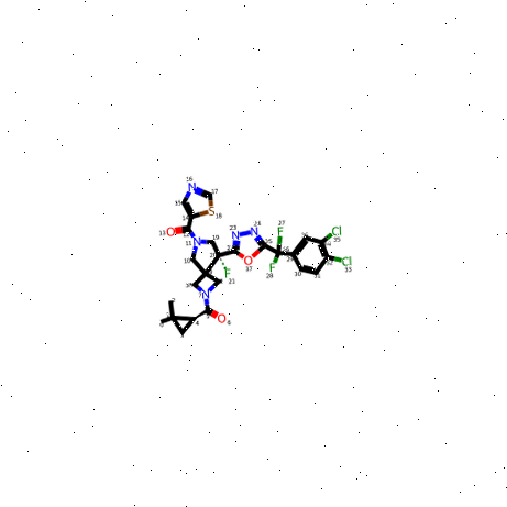 CC1(C)C[C@@H]1C(=O)N1CC2(CN(C(=O)c3cncs3)C[C@@]2(F)c2nnc(C(F)(F)c3ccc(Cl)c(Cl)c3)o2)C1